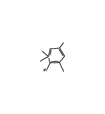 CC1=CC(C)=C(C(C)C)P(C)(C)=C1